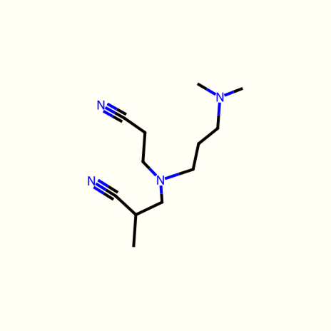 CC(C#N)CN(CCC#N)CCCN(C)C